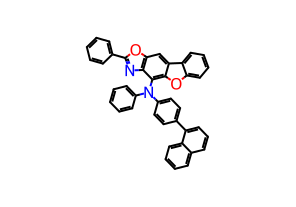 c1ccc(-c2nc3c(N(c4ccccc4)c4ccc(-c5cccc6ccccc56)cc4)c4oc5ccccc5c4cc3o2)cc1